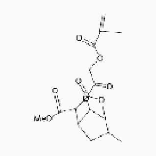 C=C(C)C(=O)OCC(=O)OC1C2CC(C)C1OC(=O)C2C(=O)OC